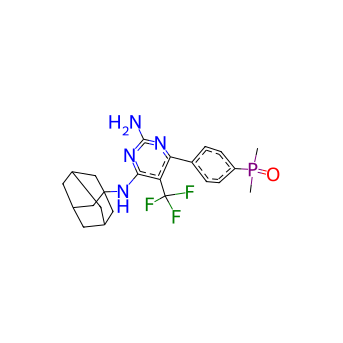 CP(C)(=O)c1ccc(-c2nc(N)nc(NC34CC5CC(CC(C5)C3)C4)c2C(F)(F)F)cc1